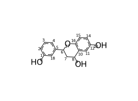 Oc1cccc(C2CC(O)c3cc(O)ccc3O2)c1